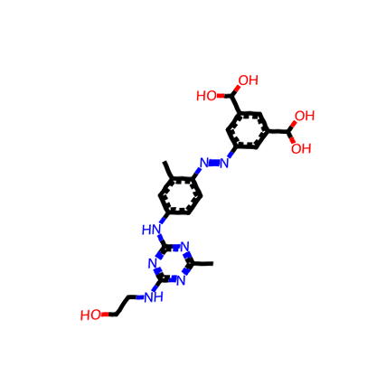 Cc1nc(NCCO)nc(Nc2ccc(N=Nc3cc(C(O)O)cc(C(O)O)c3)c(C)c2)n1